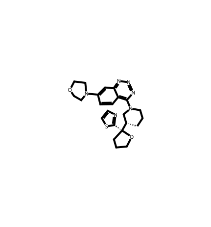 c1csc([C@@]2([C@H]3CCCN(c4nnnc5cc(N6CCOCC6)ccc45)C3)CCCO2)n1